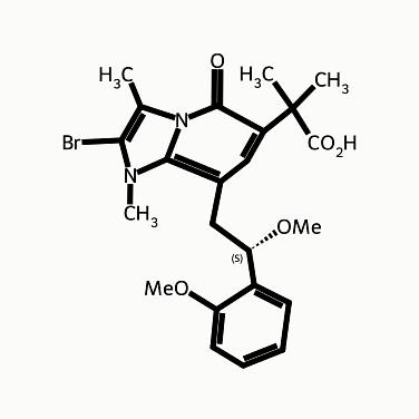 COc1ccccc1[C@H](Cc1cc(C(C)(C)C(=O)O)c(=O)n2c(C)c(Br)n(C)c12)OC